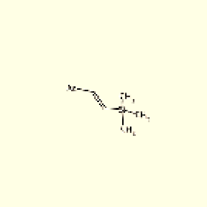 CC(=O)C=C[Si](C)(C)C